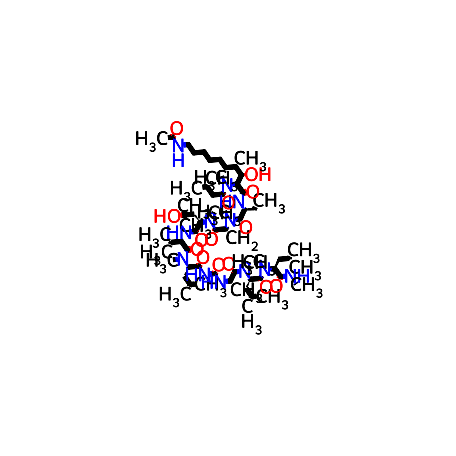 C=C(C(=O)N(C)[C@@H](CC(C)(C)O)C(=O)N[C@H](C(=O)N(C)[C@@H](CC(C)C)C(=O)NC(=O)N[C@H](C)C(=O)N(C)[C@@H](CC(C)C)C(=O)N(C)[C@@H](CC(C)C)C(=O)NC)C(C)C)N(C)C(=O)[C@H](CC)NC(=O)C([C@H](O)[C@H](C)CCCCCCNC(C)=O)N(C)C(=O)CC(C)C